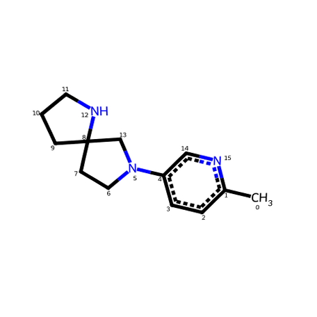 Cc1ccc(N2CCC3(CCCN3)C2)cn1